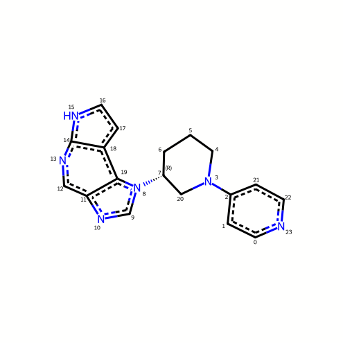 c1cc(N2CCC[C@@H](n3cnc4cnc5[nH]ccc5c43)C2)ccn1